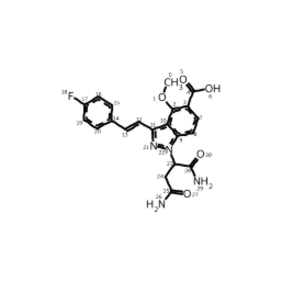 COc1c(C(=O)O)ccc2c1c(C=Cc1ccc(F)cc1)nn2C(CC(N)=O)C(N)=O